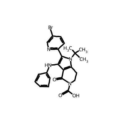 CC(C)(C)n1c2c(c(Nc3ccccc3)c1-c1ccc(Br)cn1)C(=O)N(C(=O)O)CC2